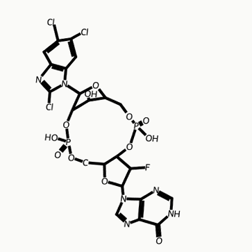 O=c1[nH]cnc2c1ncn2C1OC2COP(=O)(O)OC3C(O)C(COP(=O)(O)OC2C1F)OC3n1c(Cl)nc2cc(Cl)c(Cl)cc21